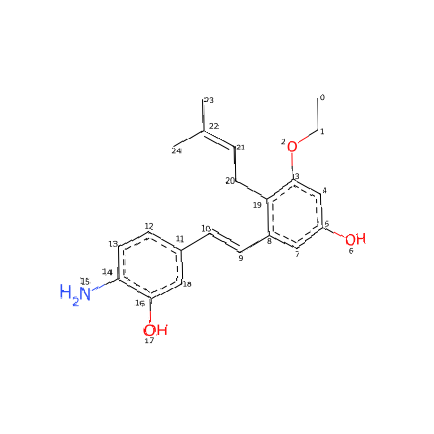 CCOc1cc(O)cc(C=Cc2ccc(N)c(O)c2)c1CC=C(C)C